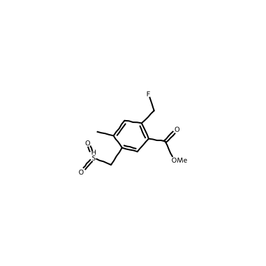 COC(=O)c1cc(C[SH](=O)=O)c(C)cc1CF